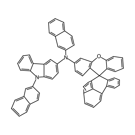 c1ccc2c(c1)Oc1cc(N(c3ccc4ccccc4c3)c3ccc4c(c3)c3ccccc3n4-c3ccc4ccccc4c3)ccc1C21c2ccccc2-c2cccc3cccc1c23